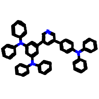 c1ccc(N(c2ccccc2)c2ccc(-c3cncc(-c4cc(N(c5ccccc5)c5ccccc5)cc(N(c5ccccc5)c5ccccc5)c4)c3)cc2)cc1